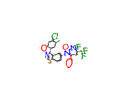 Cc1cc(-c2nsc3ccc(-n4c(=O)cc(C(F)(F)F)n(C)c4=O)cc23)c([O])cc1Cl